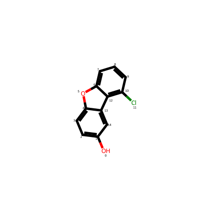 Oc1ccc2oc3cccc(Cl)c3c2c1